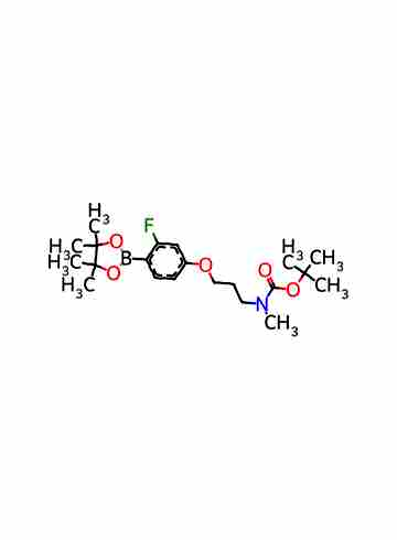 CN(CCCOc1ccc(B2OC(C)(C)C(C)(C)O2)c(F)c1)C(=O)OC(C)(C)C